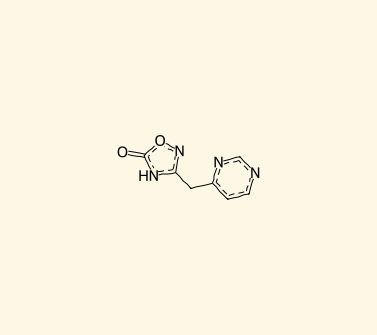 O=c1[nH]c(Cc2ccncn2)no1